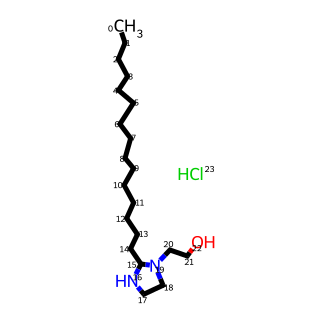 CCCCCCCCCCCCCCCC1NCCN1CCO.Cl